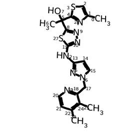 Cc1csc(C(C)(O)c2nnc(Nc3ccn(Cc4nccc(C)c4C)n3)s2)n1